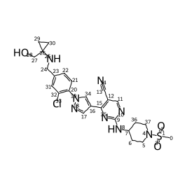 CS(=O)(=O)N1CCC(Nc2ncc(C#N)c(-c3cnn(-c4ccc(CNC5(CO)CC5)cc4Cl)c3)n2)CC1